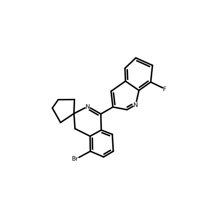 Fc1cccc2cc(C3=NC4(CCCC4)Cc4c(Br)cccc43)cnc12